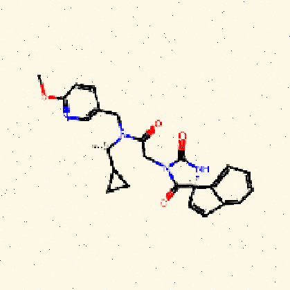 COc1ccc(CN(C(=O)CN2C(=O)N[C@]3(C=Cc4ccccc43)C2=O)[C@@H](C)C2CC2)cn1